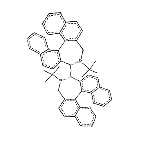 CC(C)(C)P1Cc2ccc3ccccc3c2-c2c(ccc3ccccc23)[C@H]1[C@@H]1c2ccc3ccccc3c2-c2c(ccc3ccccc23)CP1C(C)(C)C